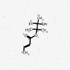 C/C=C/C(=O)OC(C)(C)C(C)(CC)CCC